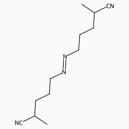 CC(C#N)CCCN=NCCCC(C)C#N